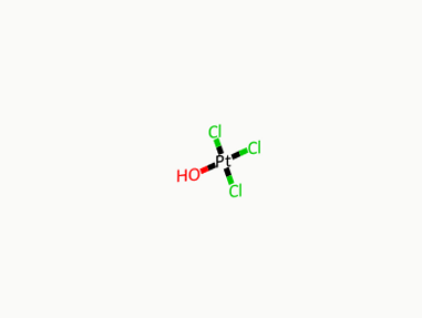 [OH][Pt]([Cl])([Cl])[Cl]